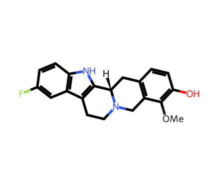 COc1c(O)ccc2c1CN1CCc3c([nH]c4ccc(F)cc34)[C@@H]1C2